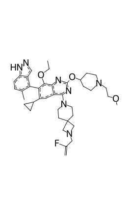 C=C(F)CN1CC2(CCN(c3nc(OC4CCN(CCOC)CC4)nc4c(OCC)c(-c5c(C)ccc6[nH]ncc56)c(C5CC5)cc34)CC2)C1